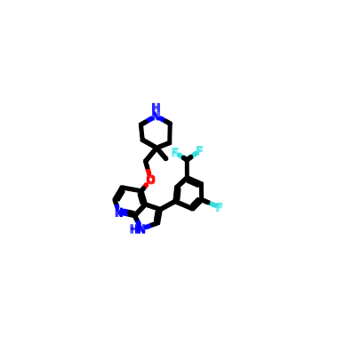 CC1(COc2ccnc3[nH]cc(-c4cc(F)cc(C(F)F)c4)c23)CCNCC1